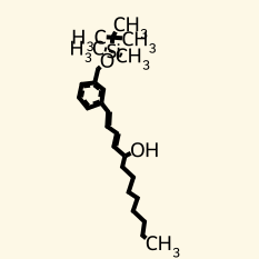 CCCCCCCCC(O)C=CC=Cc1cccc(CO[Si](C)(C)C(C)(C)C)c1